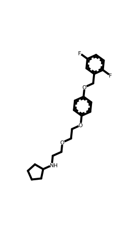 Fc1ccc(F)c(COc2ccc(OCCOCCNC3CCCC3)cc2)c1